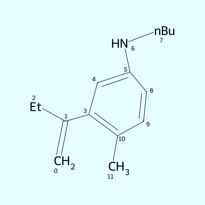 C=C(CC)c1cc(NCCCC)ccc1C